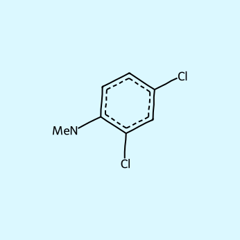 CNc1ccc(Cl)cc1Cl